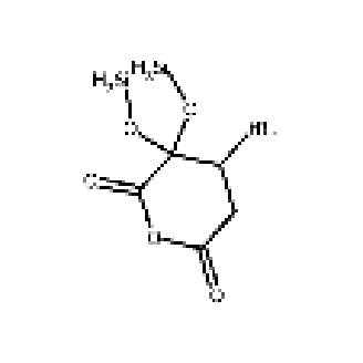 CC(C)(C)C1CC(=O)OC(=O)C1(O[SiH3])O[SiH3]